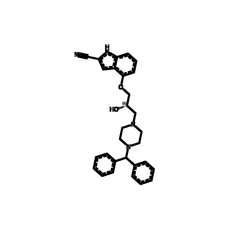 N#Cc1cc2c(OC[C@@H](O)CN3CCN(C(c4ccccc4)c4ccccc4)CC3)cccc2[nH]1